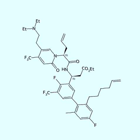 C=CCCCCc1cc(F)cc(C)c1-c1cc([C@H](CC(=O)OCC)NC(=O)[C@H](CC=C)n2cc(CCN(CC)CC)c(C(F)(F)F)cc2=O)c(F)c(C(F)(F)F)c1